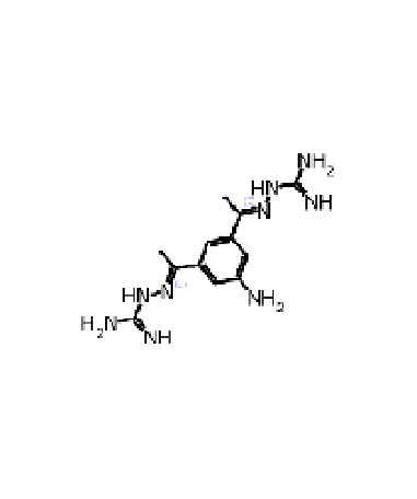 C/C(=N\NC(=N)N)c1cc(N)cc(/C(C)=N/NC(=N)N)c1